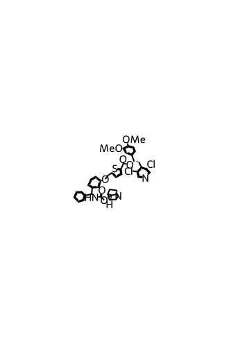 COc1ccc([C@H](Cc2c(Cl)cncc2Cl)OC(=O)c2ccc(COc3cccc(C(NC(=O)O[C@H]4CN5CCC4CC5)c4ccccc4)c3)s2)cc1OC